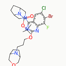 CC(C)(C)OC(=O)N1C2CCC1CN(c1nc(OCCCN3C4CCC3COC4)nc3c(F)c(Br)c(Cl)cc13)C2